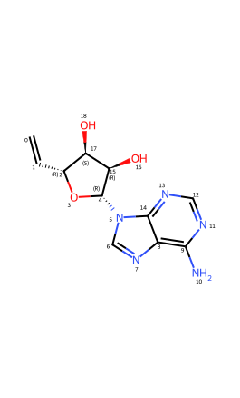 C=C[C@H]1O[C@@H](n2cnc3c(N)ncnc32)[C@H](O)[C@@H]1O